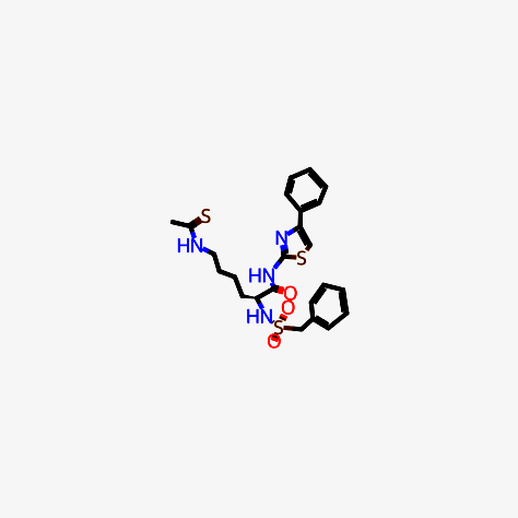 CC(=S)NCCCC[C@H](NS(=O)(=O)Cc1ccccc1)C(=O)Nc1nc(-c2ccccc2)cs1